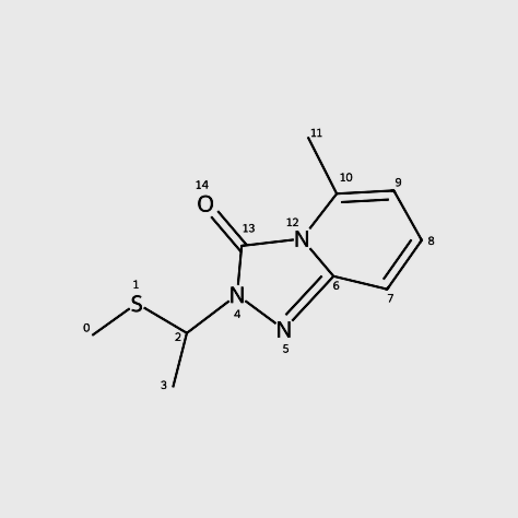 CSC(C)n1nc2cccc(C)n2c1=O